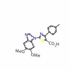 COc1cc2ncn(-c3nc(-c4ccc(C)cc4)c(C(=O)O)s3)c2cc1OC